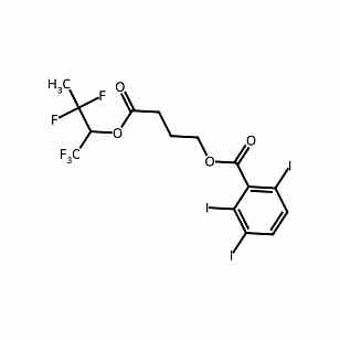 CC(F)(F)C(OC(=O)CCCOC(=O)c1c(I)ccc(I)c1I)C(F)(F)F